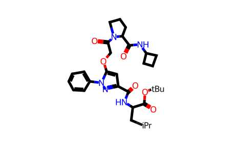 CC(C)CC(NC(=O)c1cc(OCC(=O)N2CCCC2C(=O)NC2CCC2)n(-c2ccccc2)n1)C(=O)OC(C)(C)C